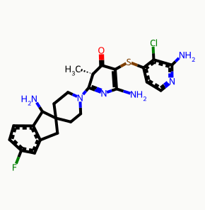 C[C@@H]1C(=O)C(Sc2ccnc(N)c2Cl)=C(N)N=C1N1CCC2(CC1)Cc1cc(F)ccc1C2N